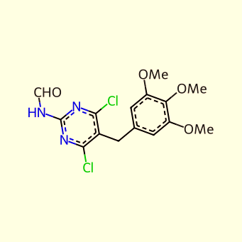 COc1cc(Cc2c(Cl)nc(NC=O)nc2Cl)cc(OC)c1OC